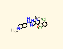 CN1CCc2cc(Nc3ncc4c(=O)c(-c5c(Cl)cccc5Cl)cn(C)c4n3)ccc2C1